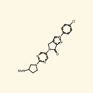 CNC1CCN(c2ncc(N3Cc4cn(-c5ccc(Cl)cc5)nc4C3=O)cn2)C1